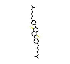 CC(C)CCCCCc1ccc2c(c1)sc1c2ccc2c1ccc1c3ccc(CCCCCC(C)C)cc3sc12